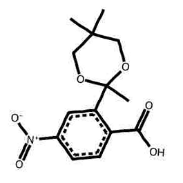 CC1(C)COC(C)(c2cc([N+](=O)[O-])ccc2C(=O)O)OC1